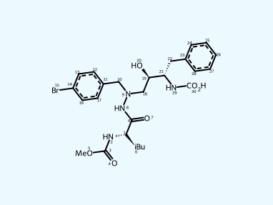 CC[C@H](C)[C@H](NC(=O)OC)C(=O)NN(Cc1ccc(Br)cc1)C[C@@H](O)[C@H](Cc1ccccc1)NC(=O)O